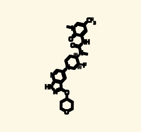 CN(C(=O)Nc1cc(C(F)(F)F)cn(C)c1=O)[C@H]1CCN(c2cnc3[nH]nc(OC4CCOCC4)c3c2)C[C@H]1F